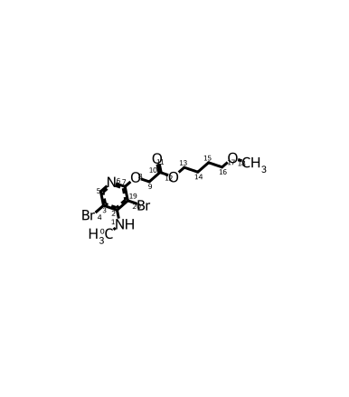 CNc1c(Br)cnc(OCC(=O)OCCCCOC)c1Br